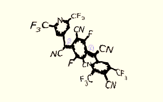 N#C/C(c1cc(C(F)(F)F)nc(C(F)(F)F)c1)=c1\c(F)c(C#N)/c(=C(/C#N)c2cc(C(F)(F)F)c(C#N)c(C(F)(F)F)c2)c(F)c1C#N